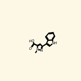 Cn1nc(-c2c[nH]c3ccccc23)cc1C(=O)O